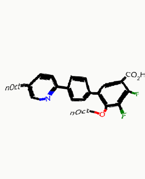 CCCCCCCCOc1c(-c2ccc(-c3ccc(CCCCCCCC)cn3)cc2)cc(C(=O)O)c(F)c1F